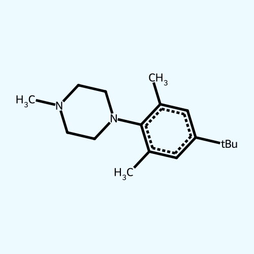 Cc1cc(C(C)(C)C)cc(C)c1N1CCN(C)CC1